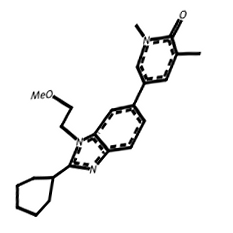 COCCn1c(C2CCCCC2)nc2ccc(-c3cc(C)c(=O)n(C)c3)cc21